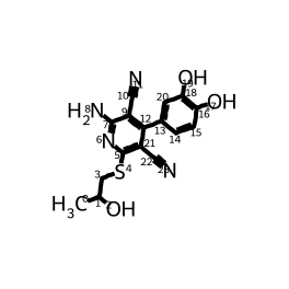 CC(O)CSc1nc(N)c(C#N)c(-c2ccc(O)c(O)c2)c1C#N